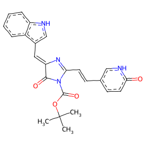 CC(C)(C)OC(=O)N1C(=O)/C(=C/c2c[nH]c3ccccc23)N=C1/C=C/c1ccc(=O)[nH]c1